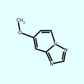 COc1ccn2ncnc2c1